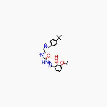 CCOc1cccc(/C=N/NC(=O)CN(C)CCN(C)Cc2ccc(C(C)(C)C)cc2)c1O